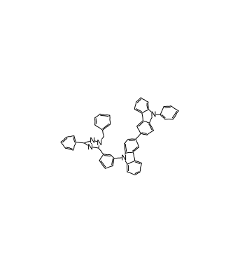 c1ccc(CN2C(c3cccc(-n4c5ccccc5c5cc(-c6ccc7c(c6)c6ccccc6n7-c6ccccc6)ccc54)c3)N3C(c4ccccc4)N23)cc1